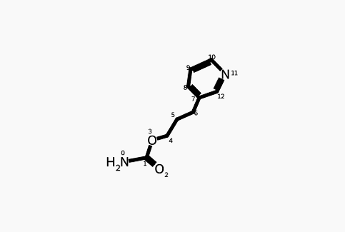 NC(=O)OCCCc1cccnc1